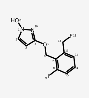 On1ccc(OCc2c(I)cccc2CF)n1